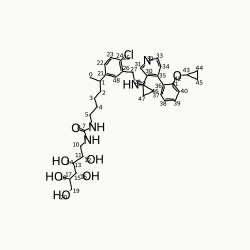 CC(CCCCNC(=O)NC[C@H](O)[C@@H](O)[C@H](O)[C@H](O)CO)c1ccc(Cl)c(CNC2(c3cnccc3-c3ccccc3OC3CC3)CC2)c1